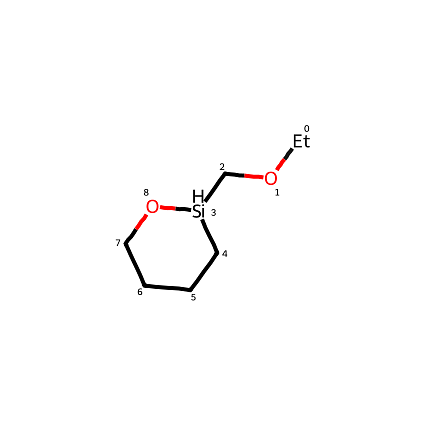 CCOC[SiH]1CCCCO1